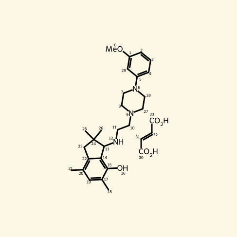 COc1cccc(N2CCN(CCNC3c4c(O)c(C)cc(C)c4CC3(C)C)CC2)c1.O=C(O)C=CC(=O)O